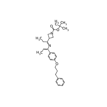 C/C=C(/N=C(\CC)C1CN(C(=O)OC(C)(C)C)C1)c1ccc(OCCCc2ccccc2)cc1